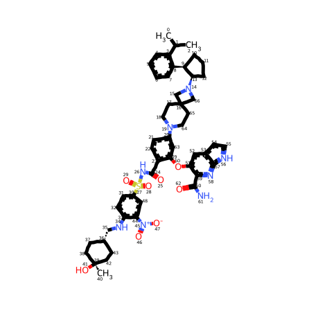 CC(C)c1ccccc1[C@H]1CCC[C@H]1N1CC2(CCN(c3ccc(C(=O)NS(=O)(=O)c4ccc(NC[C@H]5CC[C@](C)(O)CC5)c([N+](=O)[O-])c4)c(Oc4cc5cc[nH]c5nc4C(N)=O)c3)CC2)C1